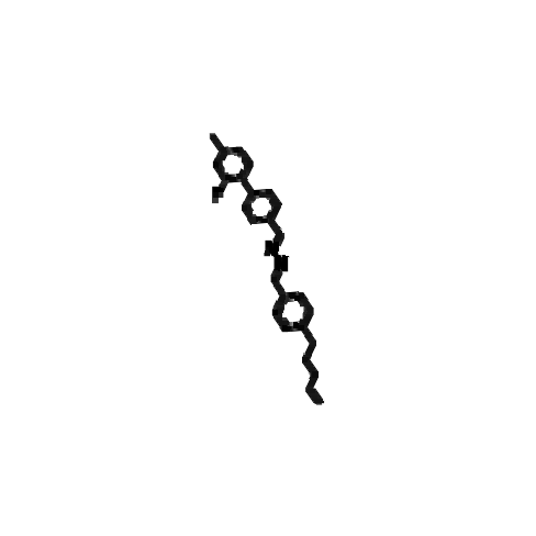 C=CCCCc1ccc(C=NN=Cc2ccc(-c3ccc(C)cc3F)cc2)cc1